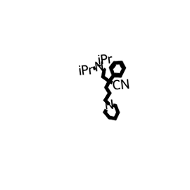 CC(C)N(CCC(C#N)(CCCN1CCCCC1)c1ccccc1)C(C)C